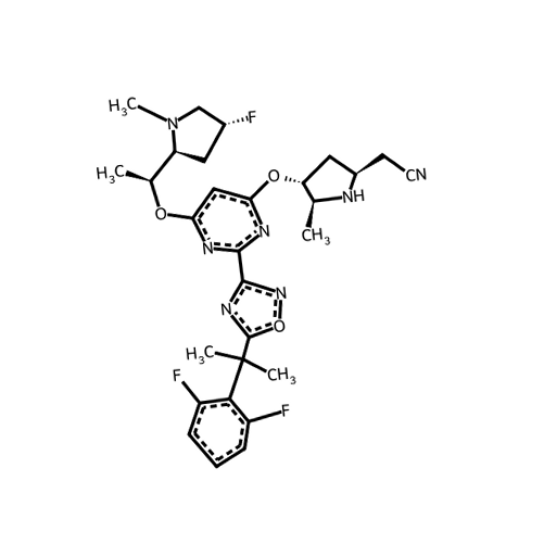 C[C@@H]1N[C@H](CC#N)C[C@H]1Oc1cc(O[C@@H](C)[C@@H]2C[C@@H](F)CN2C)nc(-c2noc(C(C)(C)c3c(F)cccc3F)n2)n1